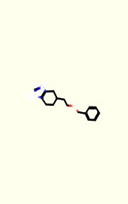 Cl.c1ccc(COCCC2CCc3[nH]cnc3C2)cc1